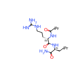 CC(C)C[C@H](NC(=O)[C@H](CCCNC(=N)N)NC(=O)C(C)C)C(N)=O